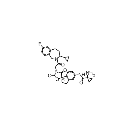 NC1(C(=O)Nc2ccc3c(c2)CC[C@@]32OC(=O)N(CC(=O)N3Cc4ccc(F)cc4CCC3C3CC3)C2=O)CC1